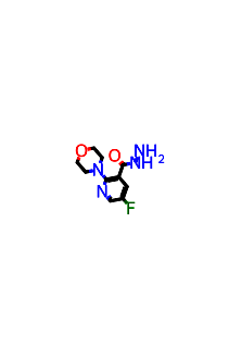 NNC(=O)c1cc(F)cnc1N1CCOCC1